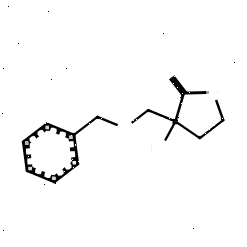 CCC1(COCc2ccccc2)CCOC1=O